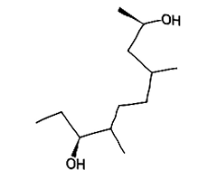 CC[C@H](O)C(C)CCC(C)C[C@@H](C)O